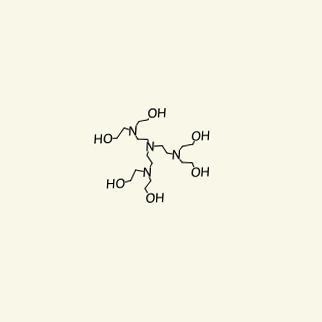 OCCN(CCO)CCN(CCN(CCO)CCO)CCN(CCO)CCO